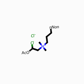 CCCCCCCCCCCC[N+](C)(C)CC(Cl)OC(C)=O.[Cl-]